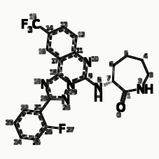 O=C1NCCCC[C@H]1Nc1nc2ccc(C(F)(F)F)cc2c2nc(-c3ccccc3F)nn12